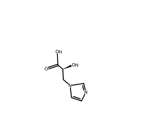 O=C(O)[C@@H](O)Cn1ccnc1